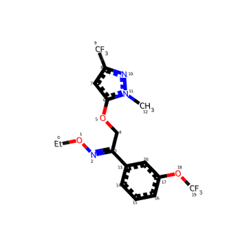 CCON=C(COc1cc(C(F)(F)F)nn1C)c1cccc(OC(F)(F)F)c1